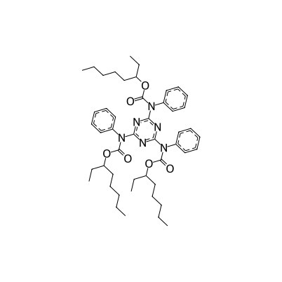 CCCCCC(CC)OC(=O)N(c1ccccc1)c1nc(N(C(=O)OC(CC)CCCCC)c2ccccc2)nc(N(C(=O)OC(CC)CCCCC)c2ccccc2)n1